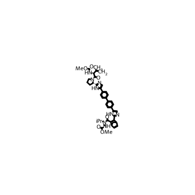 C=C(C)[C@H](NC(=O)OC)C(=O)N1CCC[C@H]1c1ncc(-c2ccc(-c3ccc(-c4cnc(C5C6C=CC(C6)C5C(=O)N(NC(=O)OC)C(C)C)[nH]4)cc3)cc2)[nH]1